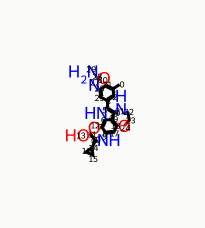 Cc1cc(-c2[nH]c3cc(N[C@H](C(=O)O)C4CC4)cc4c3c2NCCO4)cc2nc(N)oc12